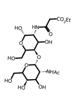 CCOC(=O)CC(=O)N[C@@H]1C(O)[C@@H](O[C@H]2OC(CO)[C@H](O)C(O)[C@H]2NC(C)=O)C(CO)O[C@@H]1O